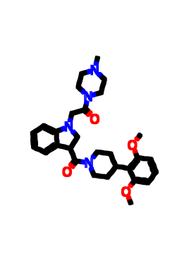 COc1cccc(OC)c1C1CCN(C(=O)C2CN(CC(=O)N3CCN(C)CC3)c3ccccc32)CC1